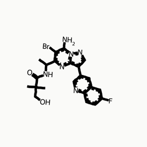 CC(NC(=O)C(C)(C)CO)c1nc2c(-c3cnc4ccc(F)cc4c3)cnn2c(N)c1Br